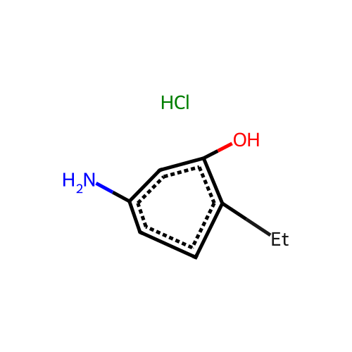 CCc1ccc(N)cc1O.Cl